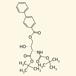 CC(C)(C)OC(=O)N[C@H](C(=O)OC(C)(C)C)[C@H](O)COC(=O)c1ccc(-c2ccccc2)cc1